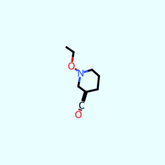 CCON1CCCC(=C=O)C1